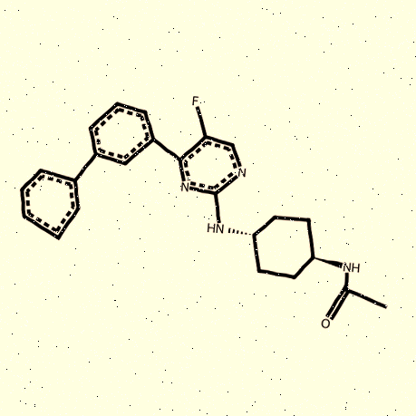 CC(=O)N[C@H]1CC[C@H](Nc2ncc(F)c(-c3cccc(-c4ccccc4)c3)n2)CC1